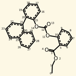 CCOC(=O)c1ccccc1OC(=O)Oc1ccccc1-c1cccc2ccccc12